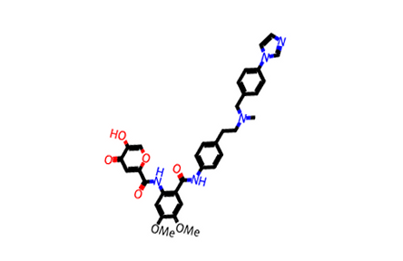 COc1cc(NC(=O)c2cc(=O)c(O)co2)c(C(=O)Nc2ccc(CCN(C)Cc3ccc(-n4ccnc4)cc3)cc2)cc1OC